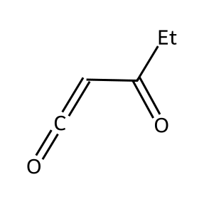 CCC(=O)C=C=O